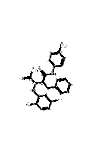 N#Cc1ccc(Cl)cc1NN(C(=O)C=O)C(Cc1ccccc1)C(=O)Nc1ccc(C(=O)O)cc1